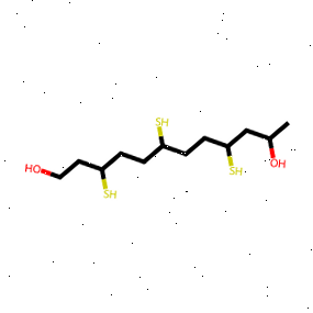 CC(O)CC(S)CCC(S)CCC(S)CCO